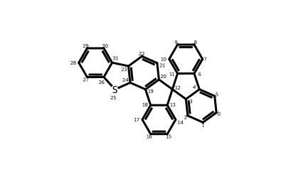 c1ccc2c(c1)-c1ccccc1C21c2ccccc2-c2c1ccc1c2sc2ccccc21